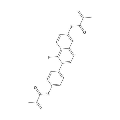 C=C(C)C(=O)Sc1ccc(-c2ccc3cc(SC(=O)C(=C)C)ccc3c2F)cc1